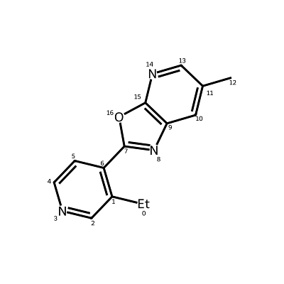 CCc1cnccc1-c1nc2cc(C)cnc2o1